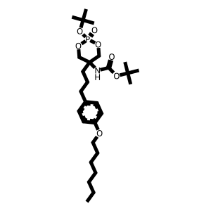 CCCCCCCOc1ccc(CCCC2(NC(=O)OC(C)(C)C)COP(=O)(OC(C)(C)C)OC2)cc1